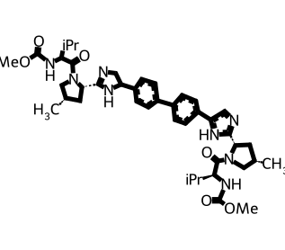 COC(=O)NC(C(=O)N1C[C@@H](C)C[C@H]1C1=NCC(c2ccc(-c3ccc(-c4cnc([C@@H]5C[C@H](C)CN5C(=O)[C@@H](NC(=O)OC)C(C)C)[nH]4)cc3)cc2)N1)C(C)C